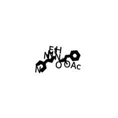 CCn1nc(-c2ccncc2)cc1NC(=O)[C@@H](Cc1ccccc1)OC(C)=O